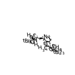 C[C@H](C#Cc1ncccc1O[C@H](C)CO[Si](C)(C)C(C)(C)C)NC(=O)OC(C)(C)C